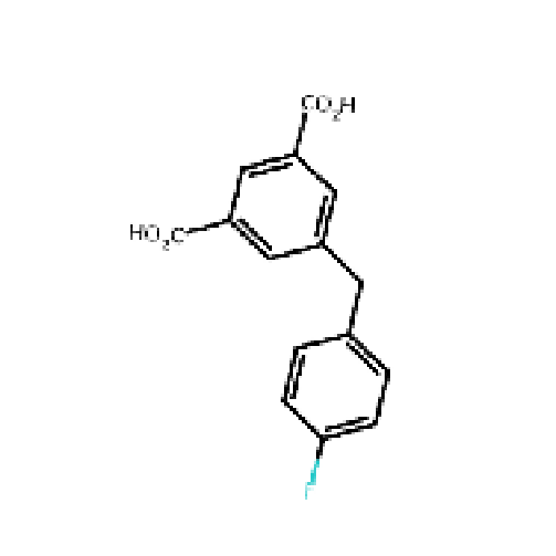 O=C(O)c1cc(Cc2ccc(F)cc2)cc(C(=O)O)c1